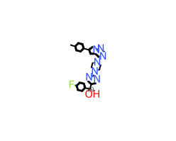 Cc1ccc(-c2cc3c(N4CCN(c5ncc([C@@](C)(O)c6ccc(F)cc6)cn5)CC4)ncnn3c2)cc1